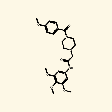 COc1ccc(C(=O)N2CCN(CC(=O)Nc3cc(OC)c(OC)c(OC)c3)CC2)cc1